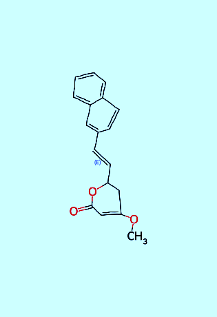 COC1=CC(=O)OC(/C=C/c2ccc3ccccc3c2)C1